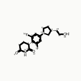 O=C1CC[C@H](c2c(F)cc(N3CC[C@H](CCO)C3)cc2F)C(=O)N1